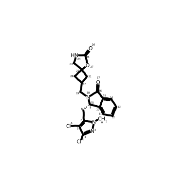 Cn1nc(Cl)c(Cl)c1C[C@H]1c2ccccc2C(=O)N1CC1CC2(CNC(=O)O2)C1